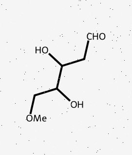 COCC(O)C(O)CC=O